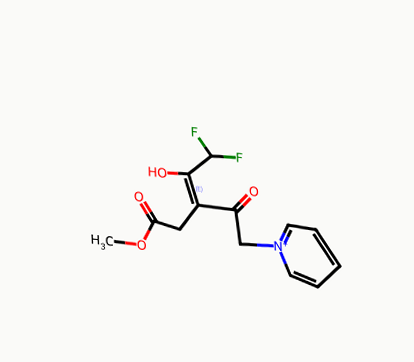 COC(=O)C/C(C(=O)C[n+]1ccccc1)=C(\O)C(F)F